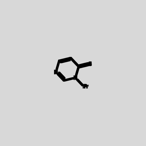 CC(C)n1cnccc1=S